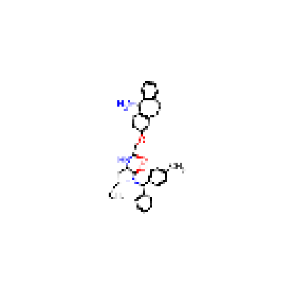 CCCCC(NC(=O)COc1ccc2c(c1)CCc1ccccc1C2N)C(=O)NC(c1ccccc1)c1ccc(C)cc1